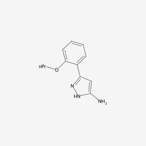 CCCOc1ccccc1-c1cc(N)[nH]n1